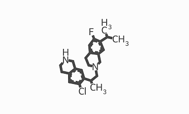 CC(C)c1cc2c(cc1F)CCN(CC(C)c1cc3c(cc1Cl)CCNC3)C2